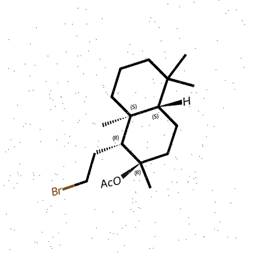 CC(=O)O[C@]1(C)CC[C@H]2C(C)(C)CCC[C@]2(C)[C@H]1CCBr